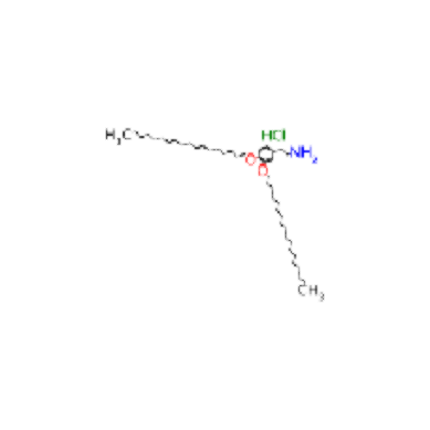 CCCCCCCCCCCCCCCCCCOc1ccc(CCN)cc1OCCCCCCCCCCCCCCCCCC.Cl